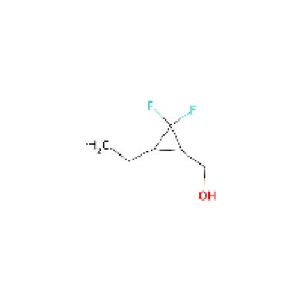 [CH2]CC1C(CO)C1(F)F